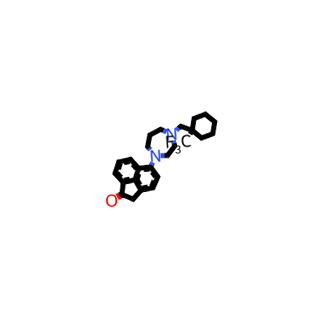 O=C1Cc2ccc(N3CCCN(CC4(C(F)(F)F)CCCCC4)CC3)c3cccc1c23